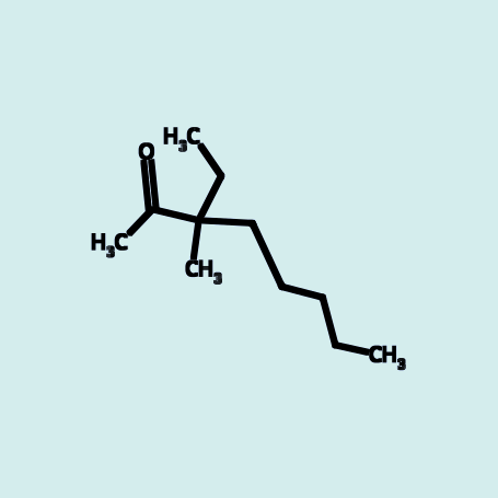 CCCCCC(C)(CC)C(C)=O